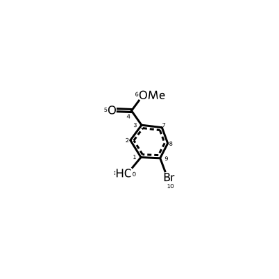 [CH]c1cc(C(=O)OC)ccc1Br